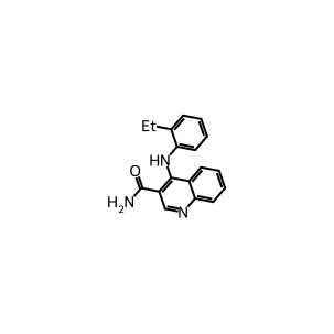 CCc1ccccc1Nc1c(C(N)=O)cnc2ccccc12